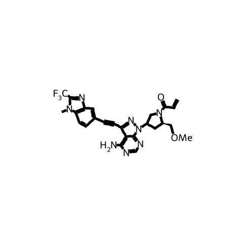 C=CC(=O)N1CC(n2nc(C#Cc3ccc4c(c3)nc(C(F)(F)F)n4C)c3c(N)ncnc32)C[C@@H]1COC